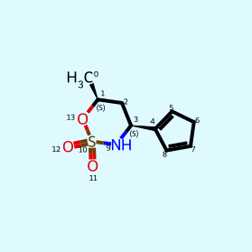 C[C@H]1C[C@@H](C2=CCC=C2)NS(=O)(=O)O1